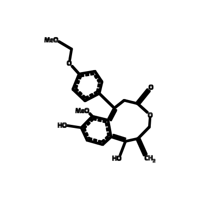 C=C1COC(=O)C/C(c2ccc(OCOC)cc2)=c2/c(OC)c(O)cc/c2=C/1O